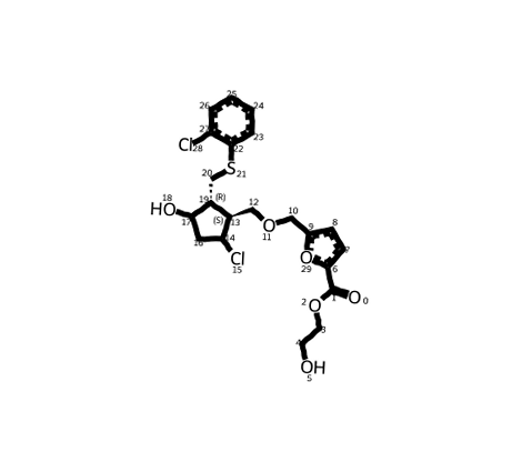 O=C(OCCO)c1ccc(COC[C@H]2C(Cl)CC(O)[C@@H]2CSc2ccccc2Cl)o1